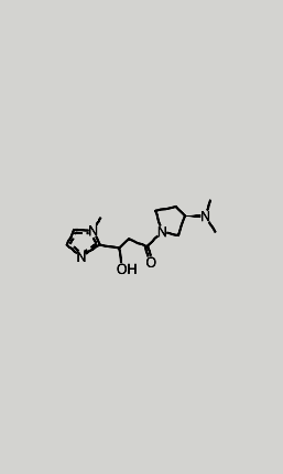 CN(C)[C@@H]1CCN(C(=O)CC(O)c2nccn2C)C1